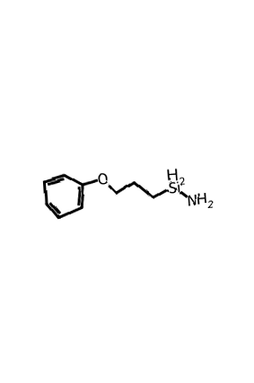 N[SiH2]CCCOc1ccccc1